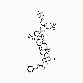 CC1([C@@H]2CC[C@]3(NC[C@H](CO[Si](C)(C)C(C)(C)C)N4CCS(=O)(=O)CC4)CC[C@]4(C)[C@H](CC[C@@H]5[C@]6(C)CC[C@H]([C@@]7(C(=O)O)C[C@@H](C(=O)OCc8ccccc8)C7(C)C)C(C)(C)[C@H]6CC[C@]54C)[C@@H]23)CC1